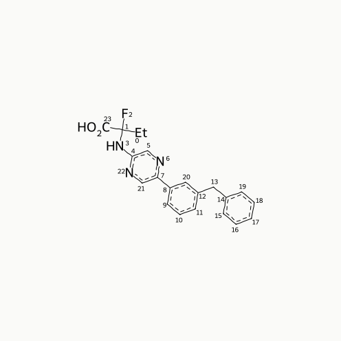 CCC(F)(Nc1cnc(-c2cccc(Cc3ccccc3)c2)cn1)C(=O)O